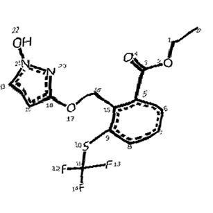 CCOC(=O)c1cccc(SC(F)(F)F)c1COc1ccn(O)n1